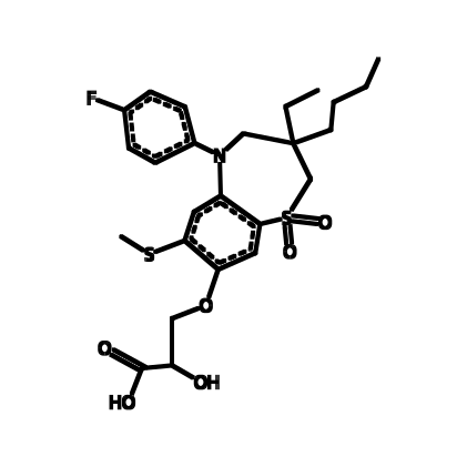 CCCCC1(CC)CN(c2ccc(F)cc2)c2cc(SC)c(OCC(O)C(=O)O)cc2S(=O)(=O)C1